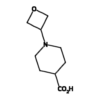 O=C(O)C1CCN(C2COC2)CC1